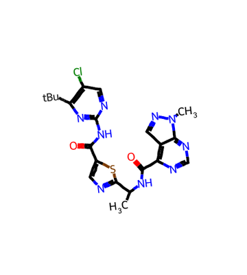 CC(NC(=O)c1ncnc2c1cnn2C)c1ncc(C(=O)Nc2ncc(Cl)c(C(C)(C)C)n2)s1